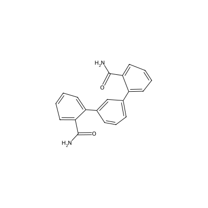 NC(=O)c1ccccc1-c1cccc(-c2ccccc2C(N)=O)c1